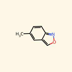 Cc1ccc2nocc2c1